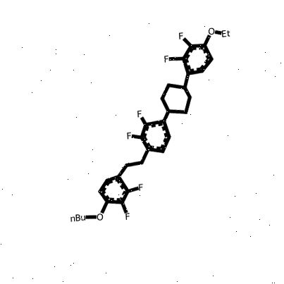 CCCCOc1ccc(CCc2ccc(C3CCC(c4ccc(OCC)c(F)c4F)CC3)c(F)c2F)c(F)c1F